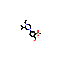 CCN1CCN(c2ccc(CO)c(S(C)(=O)=O)c2)CC1C(C)C